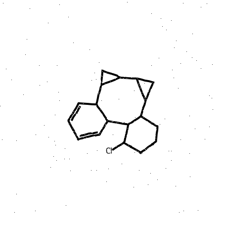 ClC1CCCC2C3CC3C3CC3C3C=CC=CC3C12